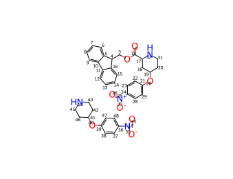 O=C(OCC1c2ccccc2-c2ccccc21)C1CC(Oc2ccc([N+](=O)[O-])cc2)CCN1.O=[N+]([O-])c1ccc(OC2CCNCC2)cc1